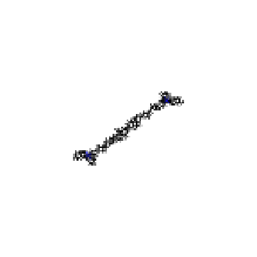 CC1(C)c2cc(-c3ccc(/C=C/c4ccc(-c5ccc6c(c5)c5ccccc5n6-c5ccc6ccccc6c5)cc4)cc3)ccc2-c2ccc(-c3ccc4c(c3)C(C)(C)c3cc(-c5ccc(/C=C/c6ccc(-c7ccc8c(c7)c7ccccc7n8-c7ccc8ccccc8c7)cc6)cc5)ccc3-4)cc21